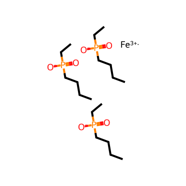 CCCCP(=O)([O-])CC.CCCCP(=O)([O-])CC.CCCCP(=O)([O-])CC.[Fe+3]